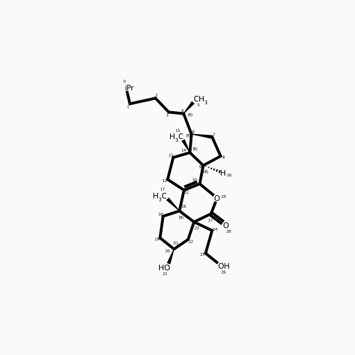 CC(C)CCC[C@@H](C)[C@H]1CC[C@H]2C3=C(CC[C@]12C)[C@@]1(C)CC[C@H](O)CC1(CCO)C(=O)O3